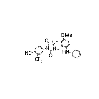 COc1ccc(Nc2ccccc2)c2c1CC1(C)C(=O)N(c3ccc(C#N)c(C(F)(F)F)c3)C(=O)N1C2